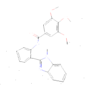 COc1cc(C(=O)Nc2ccccc2-c2nc3ccccc3n2C)cc(OC)c1OC